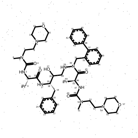 CC(C)[C@H](NC(=O)N(C)CCN1CCOCC1)C(=O)N[C@@H](Cc1ccccc1)C(O)CNN(Cc1ccccc1-c1ccccc1)C(=O)[C@@H](NC(=O)N(C)CCN1CCOCC1)C(C)C